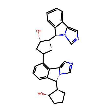 O[C@H]1CC(c2cccc3c2-c2cncn2[C@@H]3[C@H]2CCC[C@@H]2O)C[C@H]1[C@H]1c2ccccc2-c2cncn21